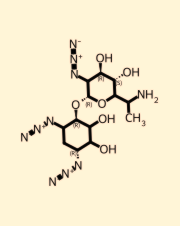 CC(N)C1O[C@H](O[C@@H]2C(N=[N+]=[N-])C[C@@H](N=[N+]=[N-])C(O)C2O)C(N=[N+]=[N-])[C@@H](O)[C@@H]1O